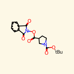 CC(C)(C)OC(=O)N1CCC(C(=O)ON2C(=O)c3ccccc3C2=O)C1